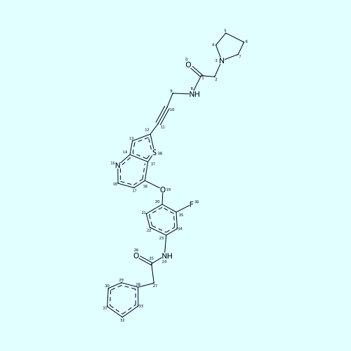 O=C(CN1CCCC1)NCC#Cc1cc2nccc(Oc3ccc(NC(=O)Cc4ccccc4)cc3F)c2s1